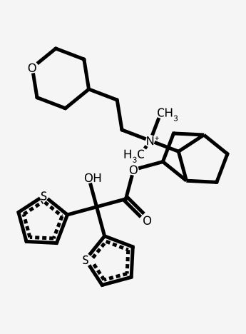 C[N+](C)(CCC1CCOCC1)C1C2CCC1C(OC(=O)C(O)(c1cccs1)c1cccs1)C2